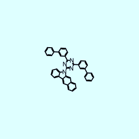 c1ccc(-c2cccc(-c3nc(-c4cccc(-c5ccccc5)c4)nc(-n4c5ccccc5c5cc6ccccc6cc54)n3)c2)cc1